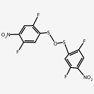 O=[N+]([O-])c1cc(F)c(SOSc2cc(F)c([N+](=O)[O-])cc2F)cc1F